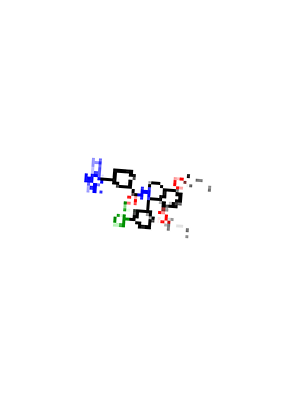 COc1ccc(OC)c2c1CCN(C(=O)c1cccc(-c3nnn[nH]3)c1)C2c1cccc(Cl)c1Cl